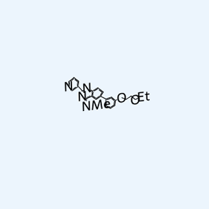 CCOCCOc1cccc(-c2ccc3nc(-c4cccnc4)nc(NC)c3c2)c1